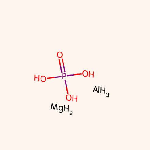 O=P(O)(O)O.[AlH3].[MgH2]